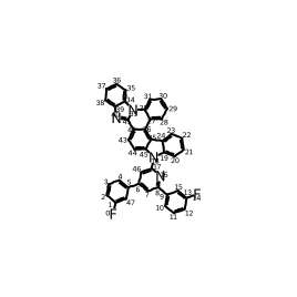 Fc1cccc(-c2cc(-c3cccc(F)c3)nc(-n3c4ccccc4c4c5c6ccccc6n6c7ccccc7nc6c5ccc43)c2)c1